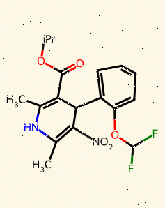 CC1=C(C(=O)OC(C)C)C(c2ccccc2OC(F)F)C([N+](=O)[O-])=C(C)N1